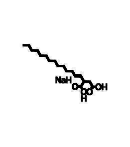 CCCCCCCCCCCCC=CC(CC(=O)O)C(=O)O.[NaH]